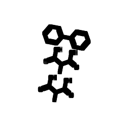 CC(C(=O)O)C(=O)O.CC(C(=O)O)C(=O)O.c1ccc(-c2ccccc2)cc1